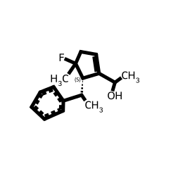 CC(O)C1=CCC(C)(F)[C@H]1C(C)c1ccccc1